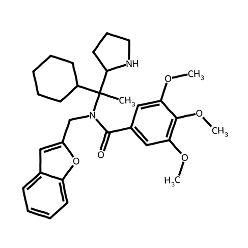 COc1cc(C(=O)N(Cc2cc3ccccc3o2)C(C)(C2CCCCC2)C2CCCN2)cc(OC)c1OC